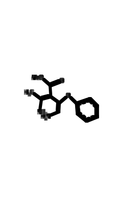 COC(=O)C(/C(=C\N)Oc1ccccc1)=C(\C)N